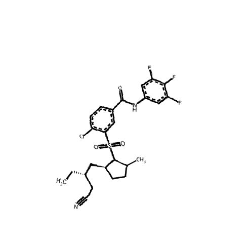 CC[C@@H](CC#N)C[C@@H]1CCC(C)C1S(=O)(=O)c1cc(C(=O)Nc2cc(F)c(F)c(F)c2)ccc1Cl